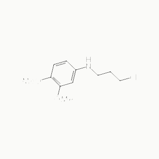 COc1ccc(NCCCCl)cc1OC